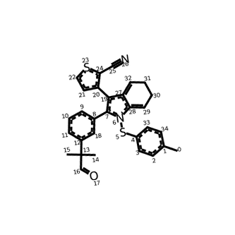 Cc1ccc(Sn2c(-c3cccc(C(C)(C)C=O)c3)c(-c3ccsc3C#N)c3c2=CCCC=3)cc1